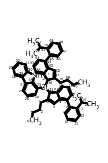 CCCCC1=Cc2c(-c3ccccc3C(C)C)cccc2[CH]1[Zr]([c]1cccc2c1[SiH2]c1ccccc1-2)[CH]1C(CCCC)=Cc2c(-c3ccccc3C(C)C)cccc21